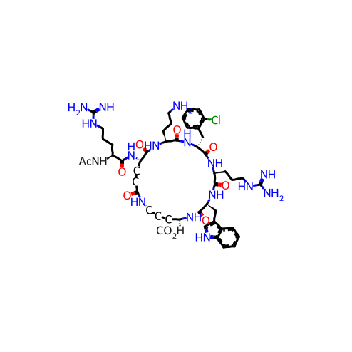 CC(=O)N[C@@H](CCCNC(=N)N)C(=O)N[C@H]1CCC(=O)NCCC[C@@H](C(=O)O)NC(=O)[C@H](Cc2c[nH]c3ccccc23)NC(=O)[C@H](CCCNC(=N)N)NC(=O)[C@@H](Cc2ccccc2Cl)NC(=O)[C@H](CCCN)NC1=O